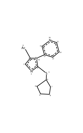 CC(=O)c1cnc(SC2CCCC2)n1-c1cccnc1